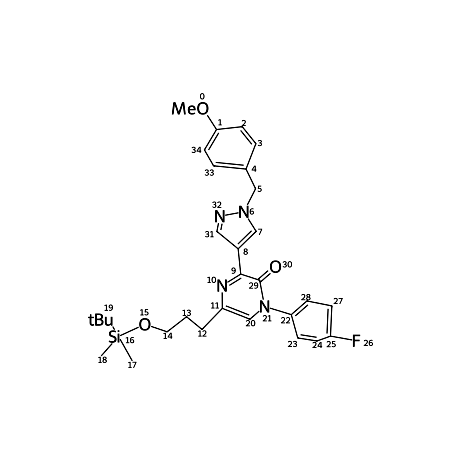 COc1ccc(Cn2cc(-c3nc(CCCO[Si](C)(C)C(C)(C)C)cn(-c4ccc(F)cc4)c3=O)cn2)cc1